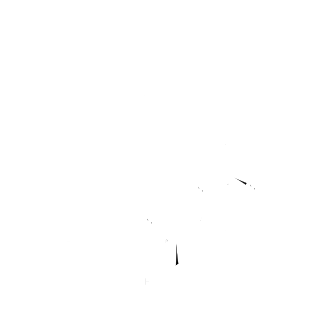 CC(C)(C)OC(=O)N[C@H](CO)C(=O)N[C@H](N)C(=O)OCc1ccccc1